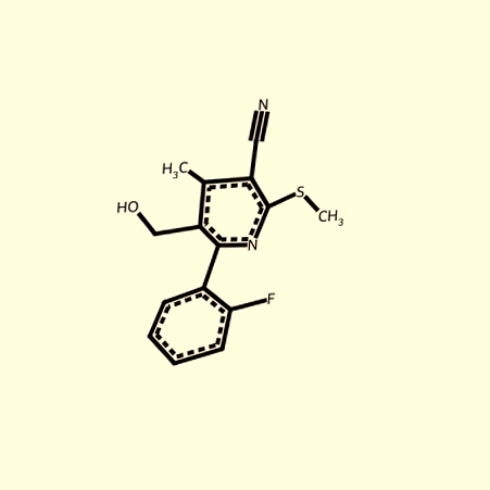 CSc1nc(-c2ccccc2F)c(CO)c(C)c1C#N